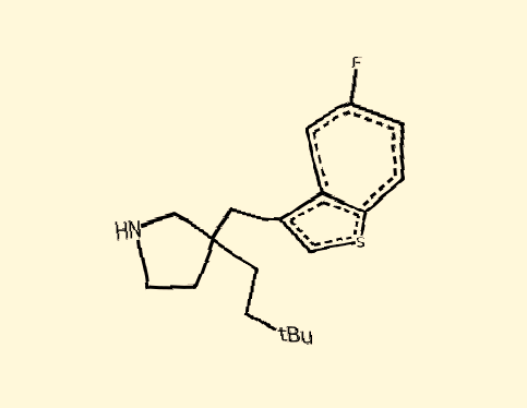 CC(C)(C)CCC1(Cc2csc3ccc(F)cc23)CCNC1